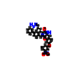 NCCCC[C@H]1C(=O)N[C@@H](Cc2ccc(Oc3cccc([N+](=O)[O-])c3)cc2)C(=O)N1Cc1ccc(-c2ccccc2)cc1